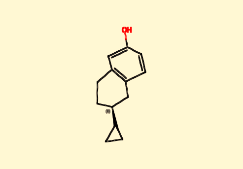 Oc1ccc2c(c1)CC[C@H](C1CC1)C2